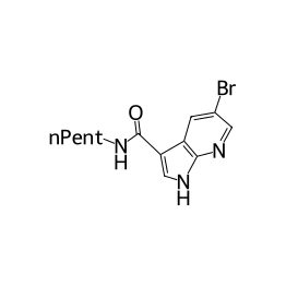 CCCCCNC(=O)c1c[nH]c2ncc(Br)cc12